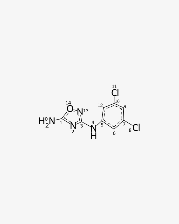 Nc1nc(Nc2cc(Cl)cc(Cl)c2)no1